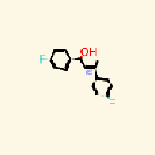 C/C(=C\C(O)c1ccc(F)cc1)c1ccc(F)cc1